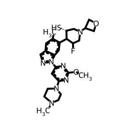 COc1nc(N2CCN(C)CC2)cc(-n2ncc3cc(C)c(C4C(F)CN(C5COC5)C[C@H]4S)cc32)n1